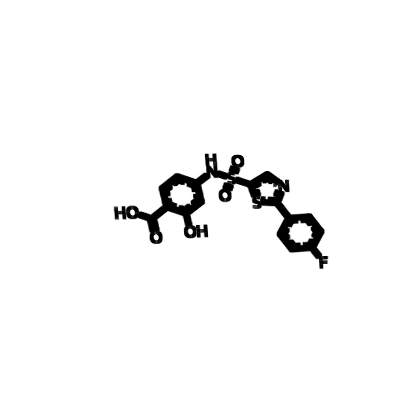 O=C(O)c1ccc(NS(=O)(=O)c2cnc(-c3ccc(F)cc3)s2)cc1O